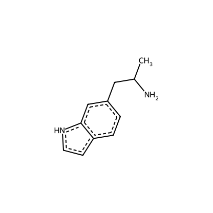 CC(N)Cc1ccc2cc[nH]c2c1